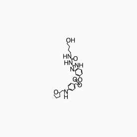 O=C(NCCCCO)Nc1nc2cc(OS(=O)(=O)c3ccc(NCC4CCCO4)cc3)ccc2[nH]1